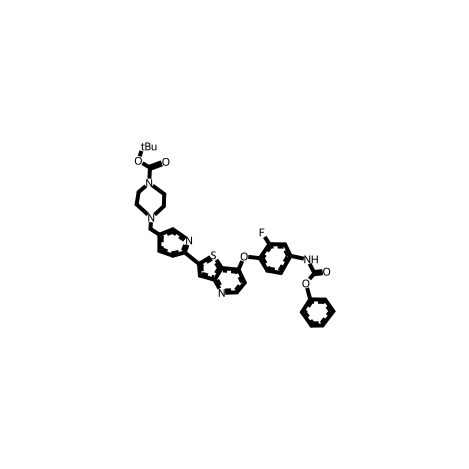 CC(C)(C)OC(=O)N1CCN(Cc2ccc(-c3cc4nccc(Oc5ccc(NC(=O)Oc6ccccc6)cc5F)c4s3)nc2)CC1